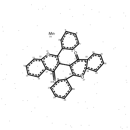 O=c1c(-c2c(-c3ccccc3)oc3ccccc3c2=O)c(-c2ccccc2)oc2ccccc12.[Mn]